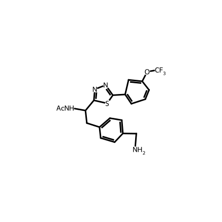 CC(=O)NC(Cc1ccc(CN)cc1)c1nnc(-c2cccc(OC(F)(F)F)c2)s1